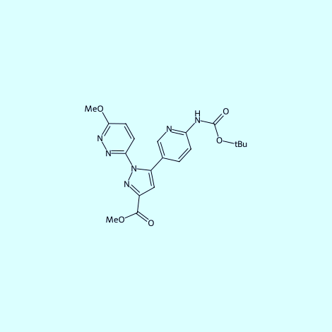 COC(=O)c1cc(-c2ccc(NC(=O)OC(C)(C)C)nc2)n(-c2ccc(OC)nn2)n1